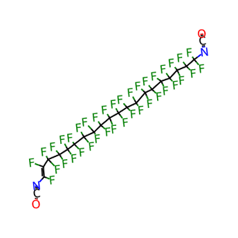 O=C=NC(F)=C(F)C(F)(F)C(F)(F)C(F)(F)C(F)(F)C(F)(F)C(F)(F)C(F)(F)C(F)(F)C(F)(F)C(F)(F)C(F)(F)C(F)(F)C(F)(F)C(F)(F)C(F)(F)C(F)(F)C(F)(F)C(F)(F)N=C=O